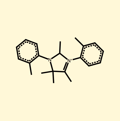 CC1=[N+](c2ccccc2C)C(C)N(c2ccccc2C)C1(C)C